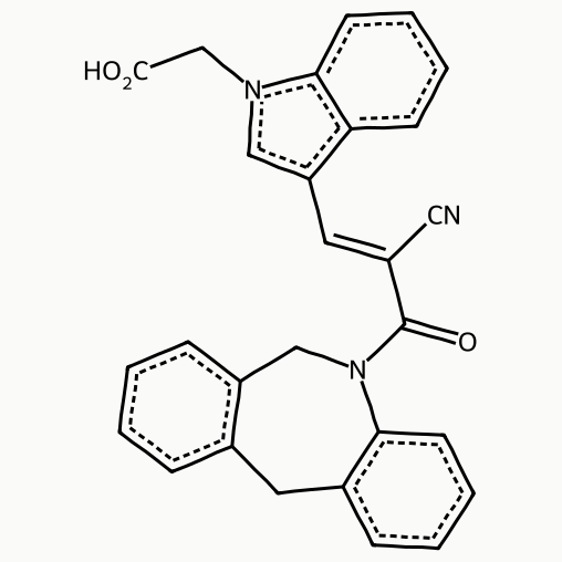 N#CC(=Cc1cn(CC(=O)O)c2ccccc12)C(=O)N1Cc2ccccc2Cc2ccccc21